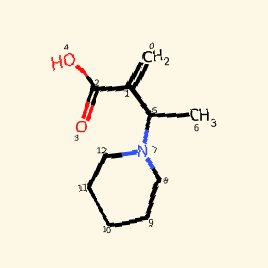 C=C(C(=O)O)C(C)N1CCCCC1